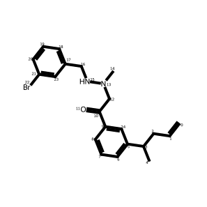 C=CCC(C)c1cccc(C(=O)CN(C)NCc2cccc(Br)c2)c1